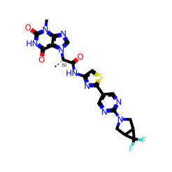 C[C@@H](C(=O)Nc1csc(-c2cnc(N3CC4C(C3)C4(F)F)nc2)n1)n1cnc2c1c(=O)[nH]c(=O)n2C